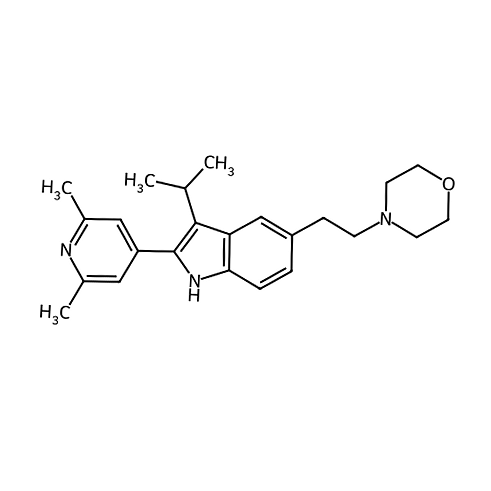 Cc1cc(-c2[nH]c3ccc(CCN4CCOCC4)cc3c2C(C)C)cc(C)n1